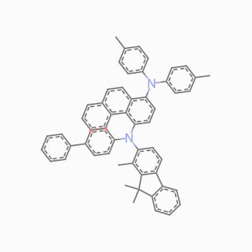 Cc1ccc(N(c2ccc(C)cc2)c2ccc(N(c3ccc(-c4ccccc4)cc3)c3ccc4c(c3C)C(C)(C)c3ccccc3-4)c3c2ccc2ccccc23)cc1